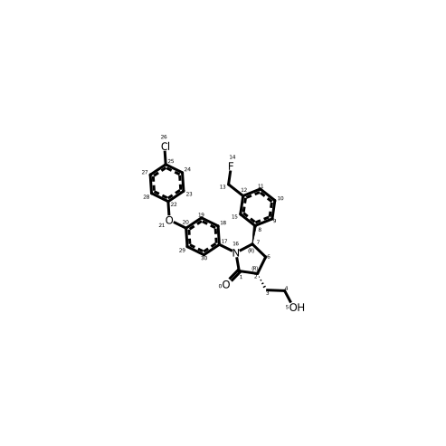 O=C1[C@@H](CCO)C[C@H](c2cccc(CF)c2)N1c1ccc(Oc2ccc(Cl)cc2)cc1